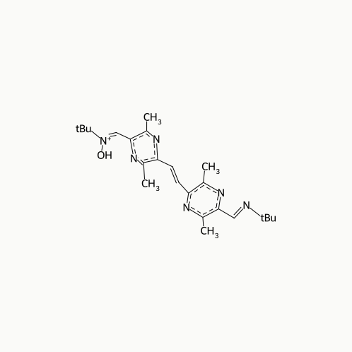 Cc1nc(/C=C/c2nc(C)c(/C=N/C(C)(C)C)nc2C)c(C)nc1/C=[N+](\O)C(C)(C)C